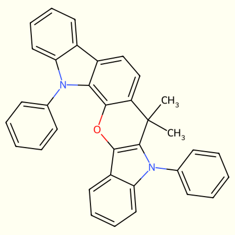 CC1(C)c2ccc3c4ccccc4n(-c4ccccc4)c3c2Oc2c1n(-c1ccccc1)c1ccccc21